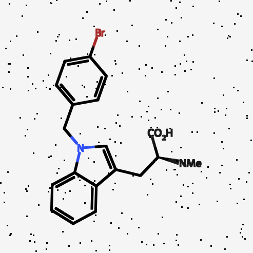 CN[C@@H](Cc1cn(Cc2ccc(Br)cc2)c2ccccc12)C(=O)O